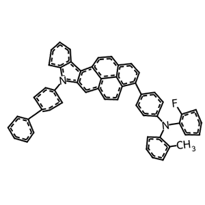 Cc1ccccc1N(c1ccc(-c2ccc3ccc4c5c(ccc2c35)cc2c4c3ccccc3n2-c2ccc(-c3ccccc3)cc2)cc1)c1ccccc1F